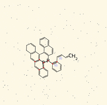 C=C/C=C\C=C/CP(c1ccccc1)c1ccc2c(c1-c1c(P(c3ccccc3)c3ccccc3)ccc3ccccc13)C=CCC2